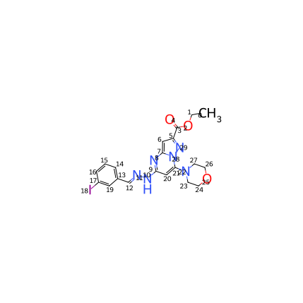 CCOC(=O)c1cc2nc(N/N=C/c3cccc(I)c3)cc(N3CCOCC3)n2n1